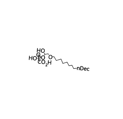 CCCCCCCCCCCCCCCCCCOCC(O)OP(=O)(O)C(=O)O